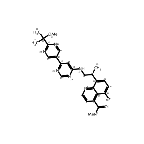 CNC(=O)c1ccnc2c([C@H](C)CNc3cc(-c4cnc(C(C)(C)OC)nc4)ncn3)ccc(F)c12